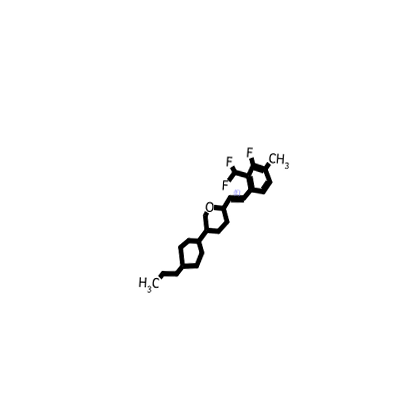 CCCC1CCC(C2CCC(/C=C/c3ccc(C)c(F)c3C(F)F)OC2)CC1